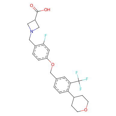 O=C(O)C1CN(Cc2ccc(OCc3ccc(C4CCOCC4)c(C(F)(F)F)c3)cc2F)C1